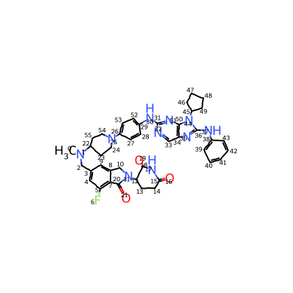 CN(Cc1cc(F)c2c(c1)CN(C1CCC(=O)NC1=O)C2=O)C1CCN(c2ccc(Nc3ncc4nc(Nc5ccccc5)n(C5CCCC5)c4n3)cc2)CC1